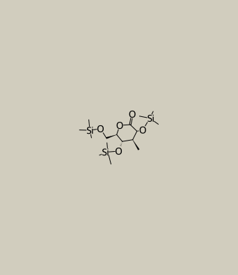 C[C@H]1[C@H](O[Si](C)(C)C)[C@@H](CO[Si](C)(C)C)OC(=O)[C@@H]1O[Si](C)(C)C